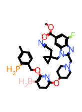 BC1=C(OCc2ccc(C)cc2P)N=C(OC2CCN(Cc3nc4c(F)cc(C(=O)OC)cc4n3CC3(CC#N)CC3)CC2)CC1